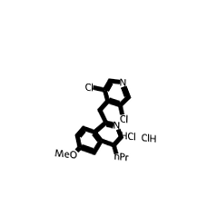 CCCC1CN=C(Cc2c(Cl)cncc2Cl)c2ccc(OC)cc21.Cl.Cl